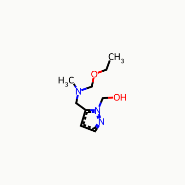 CCOCN(C)Cc1ccnn1CO